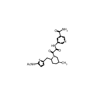 CC(=O)Nc1ccc(CC2CC[C@H](C)CN2C(=O)C(=O)Nc2cncc(C(N)=O)c2)s1